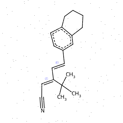 CC(C)(C)C(=C\C#N)/C=C/c1ccc2c(c1)CCCC2